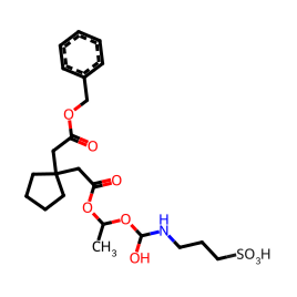 CC(OC(=O)CC1(CC(=O)OCc2ccccc2)CCCC1)OC(O)NCCCS(=O)(=O)O